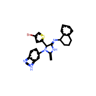 C=C1N/C(=N\C2CCCc3ccccc32)C(c2cc(Br)cs2)N1c1ccc2nc[nH]c2c1